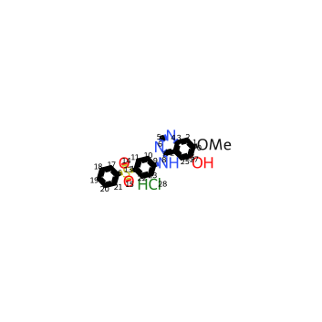 COc1cc2ncnc(Nc3ccc(S(=O)(=O)c4ccccc4)cc3)c2cc1O.Cl